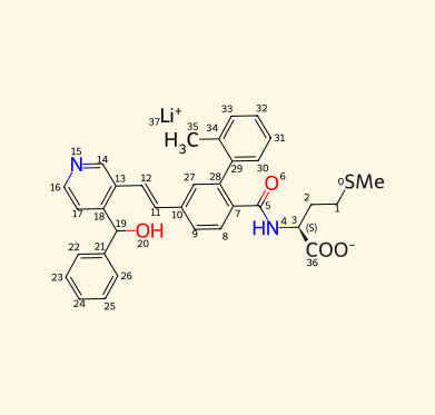 CSCC[C@H](NC(=O)c1ccc(C=Cc2cnccc2C(O)c2ccccc2)cc1-c1ccccc1C)C(=O)[O-].[Li+]